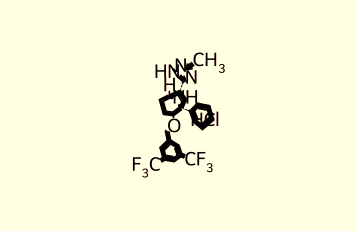 Cc1n[nH]c([C@@H]2C[C@]3(c4ccccc4)N[C@H]2CC[C@H]3OCc2cc(C(F)(F)F)cc(C(F)(F)F)c2)n1.Cl